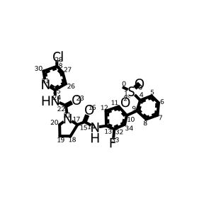 CS(=O)(=O)c1ccccc1-c1ccc(NC(=O)C2CCCN2C(=O)Nc2ccc(Cl)cn2)c(F)c1